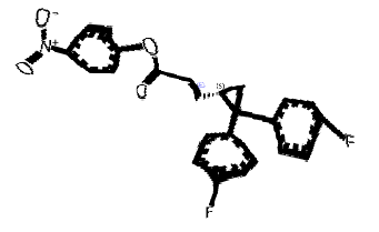 O=C(/C=C/[C@@H]1CC1(c1ccc(F)cc1)c1ccc(F)cc1)Oc1ccc([N+](=O)[O-])cc1